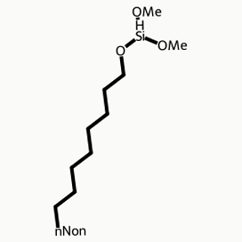 CCCCCCCCCCCCCCCCCO[SiH](OC)OC